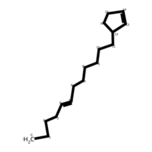 [CH2]CCCC=CCCCCCCC1C=CCC1